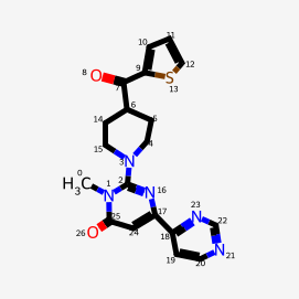 Cn1c(N2CCC(C(=O)c3cccs3)CC2)nc(-c2ccncn2)cc1=O